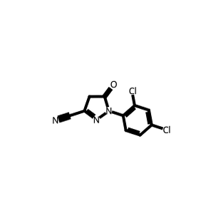 N#CC1=NN(c2ccc(Cl)cc2Cl)C(=O)C1